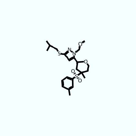 COCn1nc(SCC(C)C)cc1C1CC(C)(S(=O)(=O)c2cccc(C)c2)CCO1